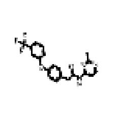 Cc1nccc(NC(=O)Cc2ccc(Oc3cccc(C(F)(F)F)c3)cc2)n1